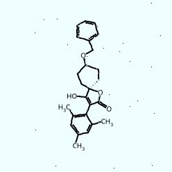 Cc1cc(C)c(C2=C(O)[C@]3(CC[C@H](OCc4ccccc4)CC3)OC2=O)c(C)c1